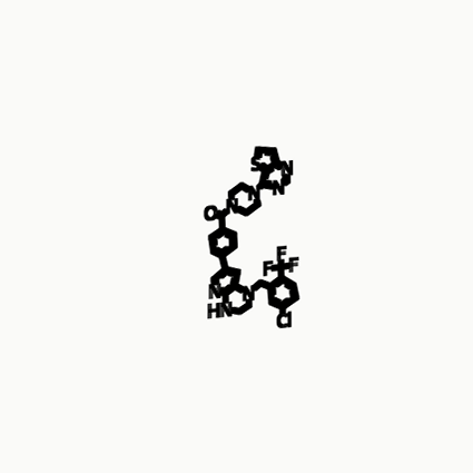 O=C(c1ccc(-c2cnc3c(c2)N(Cc2cc(Cl)ccc2C(F)(F)F)CCN3)cc1)N1CCN(c2ncnc3ccsc23)CC1